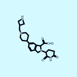 O=CC(=O)C1c2cc(C3CCN(CC4CNC4)CC3)ccc2CN1C1CCC(=O)NC1=O